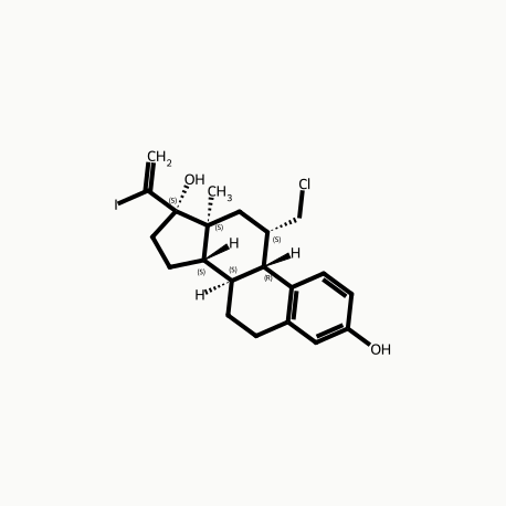 C=C(I)[C@]1(O)CC[C@H]2[C@@H]3CCc4cc(O)ccc4[C@H]3[C@@H](CCl)C[C@@]21C